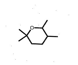 CC1CCC(C)(C)OC1C